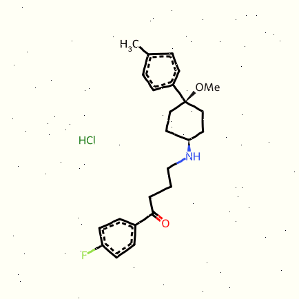 CO[C@]1(c2ccc(C)cc2)CC[C@H](NCCCC(=O)c2ccc(F)cc2)CC1.Cl